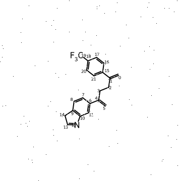 C=C(CCC(=C)c1ccc2c(c1)N=CC2)c1ccc(C(F)(F)F)cc1